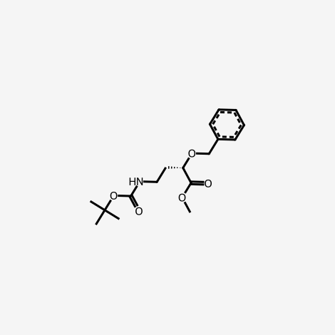 COC(=O)[C@H](CCNC(=O)OC(C)(C)C)OCc1ccccc1